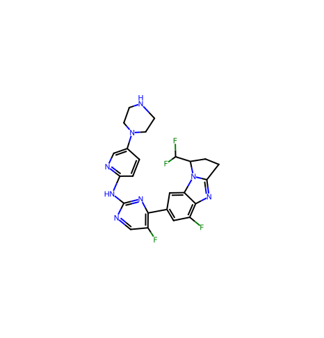 Fc1cnc(Nc2ccc(N3CCNCC3)cn2)nc1-c1cc(F)c2nc3n(c2c1)C(C(F)F)CC3